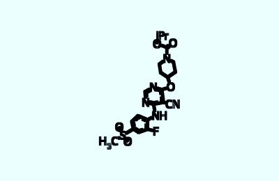 CC(C)OC(=O)N1CCC(Oc2ncnc(Nc3ccc(S(C)(=O)=O)cc3F)c2C#N)CC1